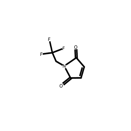 O=C1C=CC(=O)N1CC(F)(F)F